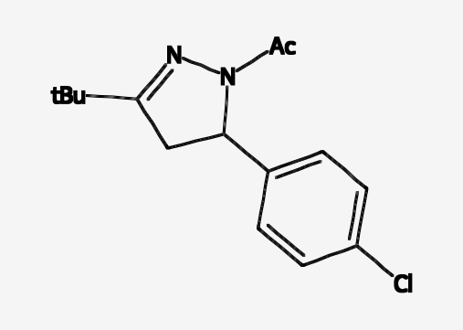 CC(=O)N1N=C(C(C)(C)C)CC1c1ccc(Cl)cc1